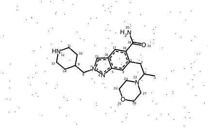 CC(Cc1cc2nn(CC3CCNCC3)cc2cc1C(N)=O)N1CCOCC1